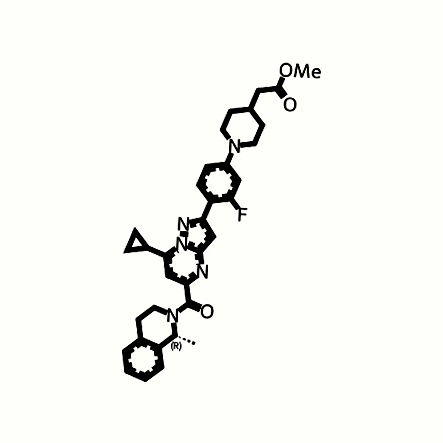 COC(=O)CC1CCN(c2ccc(-c3cc4nc(C(=O)N5CCc6ccccc6[C@H]5C)cc(C5CC5)n4n3)c(F)c2)CC1